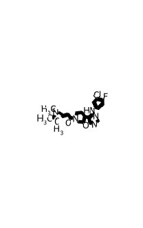 CC(C)N(C)CC=CC(=O)N1CCc2c(oc3ncnc(Nc4ccc(F)c(Cl)c4)c23)C1